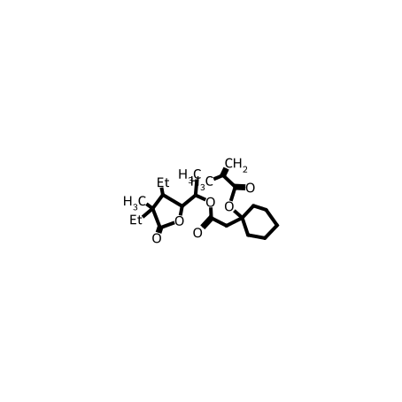 C=C(C)C(=O)OC1(CC(=O)OC(C)C2OC(=O)C(C)(CC)C2CC)CCCCC1